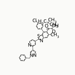 Cc1cc2nc(-c3ccnc(-c4cnn(Cc5ccccc5)c4)c3)sc2c(-c2ccc(Cl)cc2)c1[C@H](OC(C)(C)C)C(=O)O